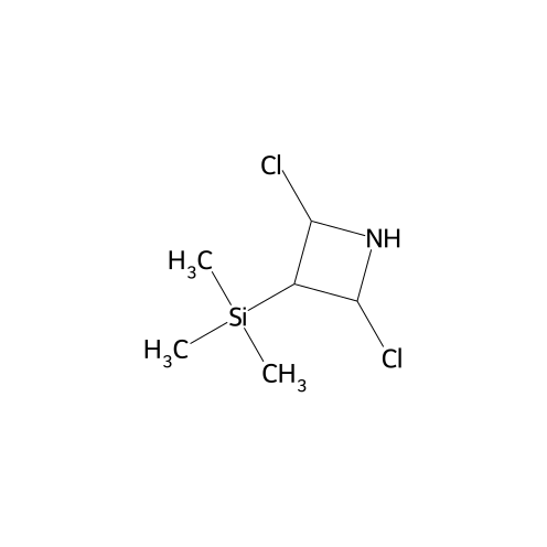 C[Si](C)(C)C1C(Cl)NC1Cl